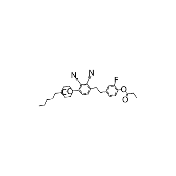 CCCCCC12CCC(c3ccc(CCc4ccc(OC(=O)CC)c(F)c4)c(C#N)c3C#N)(CC1)CC2